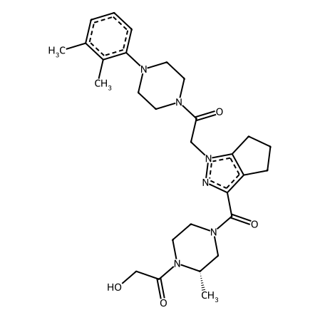 Cc1cccc(N2CCN(C(=O)Cn3nc(C(=O)N4CCN(C(=O)CO)[C@@H](C)C4)c4c3CCC4)CC2)c1C